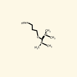 CCCCCCCCCOC(N(C)C)=[N+](C)C